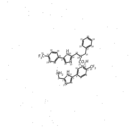 NCc1ncc(-c2ccc(C(F)(F)F)nc2)[nH]1.O=C(O)N(Cc1ccccc1)Cc1ncc(-c2ccc(C(F)(F)F)nc2)[nH]1